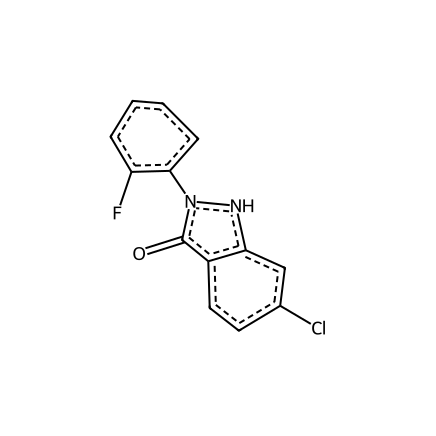 O=c1c2ccc(Cl)cc2[nH]n1-c1ccccc1F